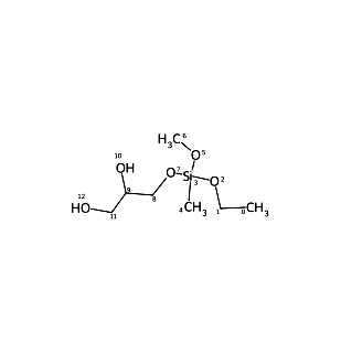 CCO[Si](C)(OC)OCC(O)CO